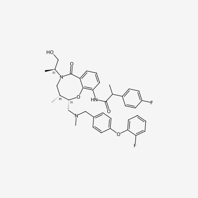 CC(C(=O)Nc1cccc2c1O[C@H](CN(C)Cc1ccc(Oc3ccccc3F)cc1)[C@H](C)CN([C@@H](C)CO)C2=O)c1ccc(F)cc1